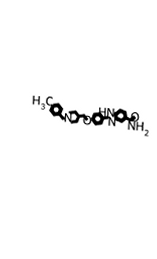 Cc1ccc(CN2CCC(COc3ccc(-c4nc5cc(C(N)=O)ccc5[nH]4)cc3)CC2)cc1